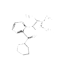 CC1=C(C)C(C)=C(c2ccccc2C(=N)C2CCCCC2)C1